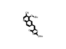 CCCCOc1c(C#N)cnc2ccc(/C=C3/SC(SC)=NC3=O)cc12